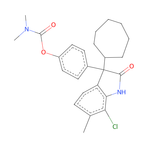 Cc1ccc2c(c1Cl)NC(=O)C2(c1ccc(OC(=O)N(C)C)cc1)C1CCCCCC1